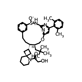 Cc1cccc(C)c1-c1cc2nc(n1)N[S+]([O-])c1cccc(c1)CCC([C@H]1C[C@@]3(CCCCN3C(=O)CO)C1)[C@H](CC(C)(C)C)CO2